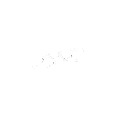 CCOC(=O)/C(=N\Nc1ccc(Cl)cc1)C(C)=O